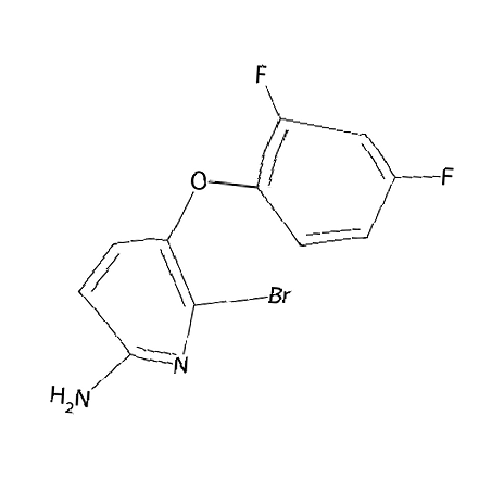 Nc1ccc(Oc2ccc(F)cc2F)c(Br)n1